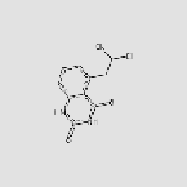 O=c1[nH]c(=O)c2c(CC(Cl)Cl)cccc2[nH]1